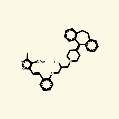 COc1c(C)noc1C=Cc1ccccc1OCC(O)CN1CCC(=C2c3ccccc3CCc3ccccc32)CC1